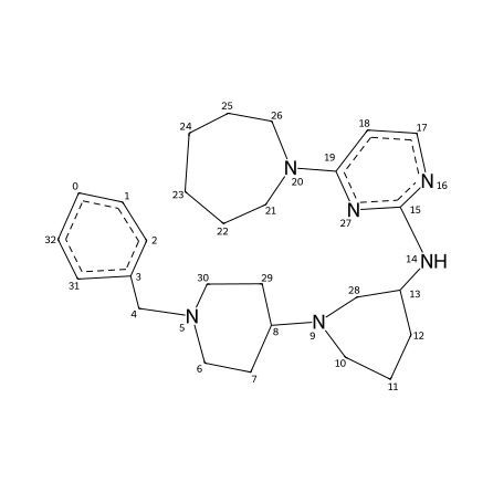 c1ccc(CN2CCC(N3CCCC(Nc4nccc(N5CCCCCC5)n4)C3)CC2)cc1